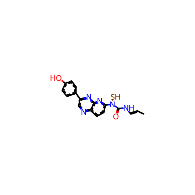 CC=CNC(=O)N(S)c1ccc2ncc(-c3ccc(O)cc3)nc2n1